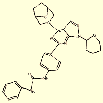 O=C(Nc1ccc(-c2nc(N3CC4CCC(C3)O4)c3cnn(C4CCCCO4)c3n2)cc1)Nc1cccnc1